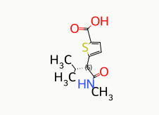 CNC(=O)[C@@H](c1ccc(C(=O)O)s1)C(C)C